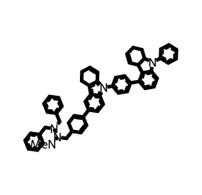 CNN(CC1C=CC(c2ccc3c(c2)c2c(n3-c3ccc(-c4cccc5c4C4C=CCCC4N5c4ccccc4)cc3)C=CCC2)=CC1)N(Cc1ccccc1)Cc1ccccc1